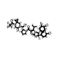 CC(C)C1=C(C(=O)N2CCC[C@@H]2C(=O)N2CC3(CC3)N(C(=O)C(F)(F)F)C[C@@H]2C)SC2=N[C@@](C)(c3ccc(Cl)nc3)[C@@H](c3ccc(Cl)c(F)c3)N21